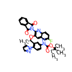 C[C@H](Oc1cc2cc(F)ccc2nc1N1C(=O)c2ccccc2C1=O)c1cc(NC(=O)OC(C)(C)C)ccc1-n1cccn1